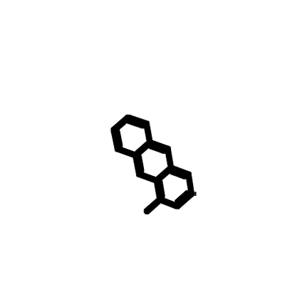 Cc1c[c]cc2cc3ccccc3cc12